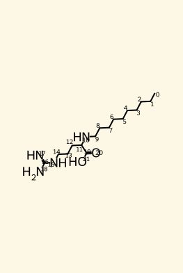 CCCCCCCCCCNC(CCCNC(=N)N)C(=O)O